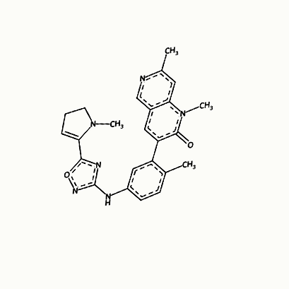 Cc1cc2c(cn1)cc(-c1cc(Nc3noc(C4=CCCN4C)n3)ccc1C)c(=O)n2C